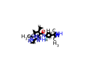 Cc1n[nH]c(C)c1-c1ccc(NC(=O)C(c2nnc(-c3ccnn3C(C)C)[nH]2)C(C2CC2)C2CC2)c(F)c1